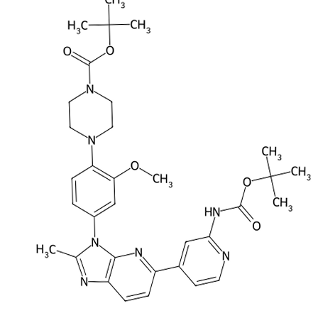 COc1cc(-n2c(C)nc3ccc(-c4ccnc(NC(=O)OC(C)(C)C)c4)nc32)ccc1N1CCN(C(=O)OC(C)(C)C)CC1